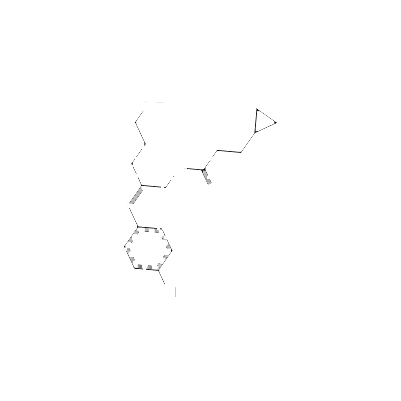 CCCCC(=Cc1ccc(C)cc1)COC(=O)CCC1CC1